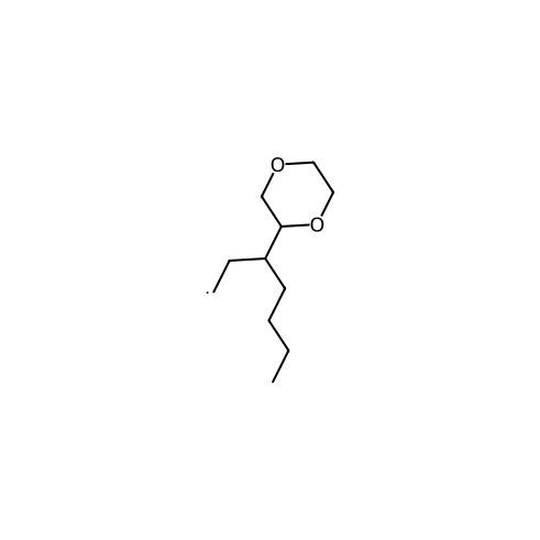 [CH2]CC(CCCC)C1COCCO1